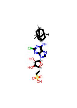 C[C@]12C[C@@H]3C[C@](C)(C1)C[C@@](Nc1nc(Cl)nc4c1ncn4[C@@H]1O[C@H](CCS(=O)(=O)O)C(O)[C@@H]1O)(C3)C2